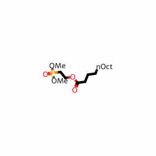 CCCCCCCCCCCC(=O)OCCP(=O)(OC)OC